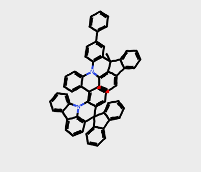 CC12c3ccccc3-c3cccc(c31)N(c1ccccc1-c1cccc3c1-n1c4ccccc4c4cccc(c41)C31c3ccccc3-c3ccccc31)c1ccc(-c3ccccc3)cc12